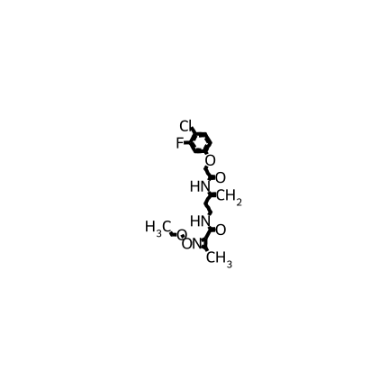 C=C(CCNC(=O)C1C(C)N1OOCC)NC(=O)COc1ccc(Cl)c(F)c1